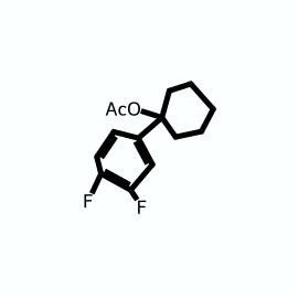 CC(=O)OC1(c2ccc(F)c(F)c2)CCCCC1